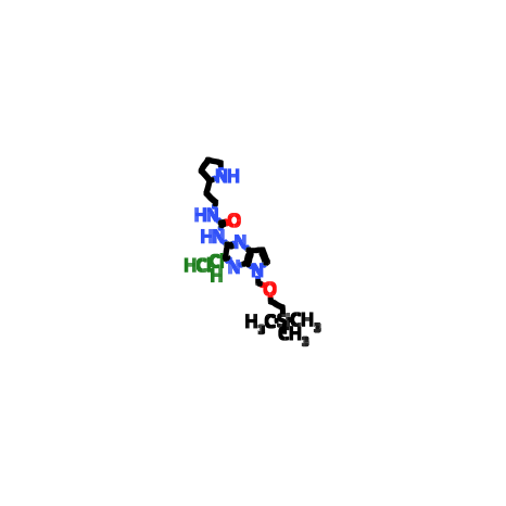 C[Si](C)(C)CCOCn1ccc2nc(NC(=O)NCCC3CCCN3)cnc21.Cl.Cl